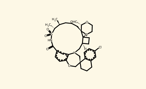 C[C@@H]1[C@@H](C)CCC[C@@]2(OCCO[C@H]2C=O)[C@@H]2CC[C@H]2CN2C[C@@]3(CCCc4cc(Cl)ccc43)COc3ccc(cc32)C(=O)NS1(=O)=O